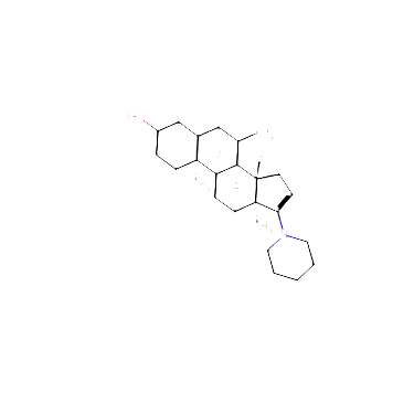 CC1CC2CC(O)CC[C@]2(C)[C@@H]2CC[C@]3(C)C(N4CCCCC4)=CC[C@H]3[C@H]12